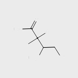 CCC(C)(C(=O)OCC(C)C)C(CC(C)C)C(=O)O